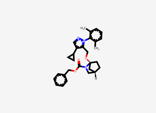 Cc1cccc(C)c1-n1ncc(C2CC2)c1CO[C@]12CC[C@H](CN1C(=O)OCc1ccccc1)C2